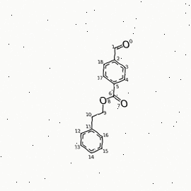 O=[C]c1ccc(C(=O)OCCc2ccccc2)cc1